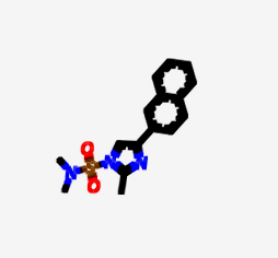 Cc1nc(-c2ccc3ccccc3c2)cn1S(=O)(=O)N(C)C